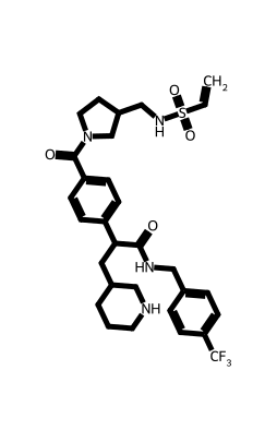 C=CS(=O)(=O)NCC1CCN(C(=O)c2ccc(C(CC3CCCNC3)C(=O)NCc3ccc(C(F)(F)F)cc3)cc2)C1